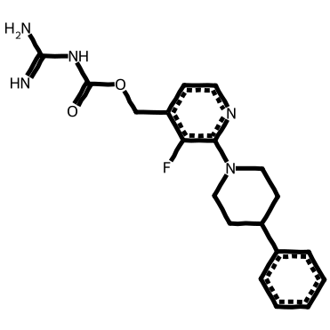 N=C(N)NC(=O)OCc1ccnc(N2CCC(c3ccccc3)CC2)c1F